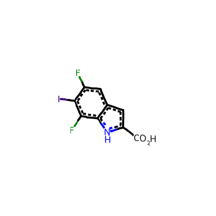 O=C(O)c1cc2cc(F)c(I)c(F)c2[nH]1